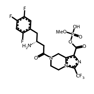 COP(=O)(O)OC(=O)c1nc(C(F)(F)F)n2c1CN(C(=O)C[C@H](N)Cc1cc(F)c(F)cc1F)CC2